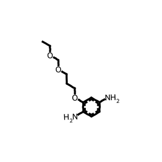 CCOCOCCCOc1cc(N)ccc1N